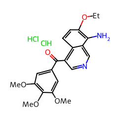 CCOc1ccc2c(C(=O)c3cc(OC)c(OC)c(OC)c3)cncc2c1N.Cl.Cl